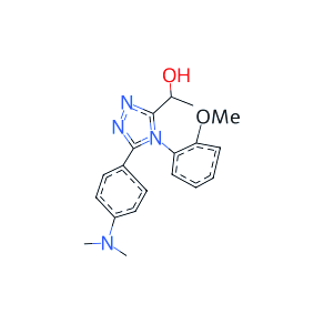 COc1ccccc1-n1c(-c2ccc(N(C)C)cc2)nnc1C(C)O